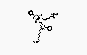 CCNC(=O)CCC/C=C\C[C@H]1[C@H]2CB(c3ccccc3)O[C@H](C2)[C@@H]1/C=C/[C@H](CCc1ccccc1)OC(=O)CCCCCO[N+](=O)[O-]